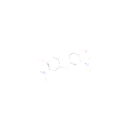 O=[N+]([O-])c1cc(Oc2ccc(O)c([N+](=O)[O-])c2)ccc1O